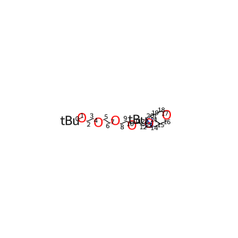 CC(C)(C)OCCOCCOCCOCCN1CC2COCC(C1)C2OC(C)(C)C